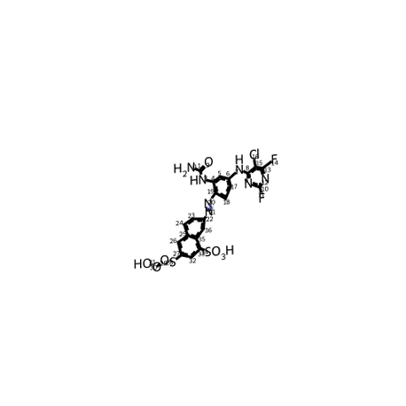 NC(=O)Nc1cc(Nc2nc(F)nc(F)c2Cl)ccc1/N=N/c1ccc2cc(SOOO)cc(S(=O)(=O)O)c2c1